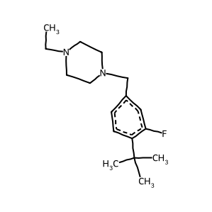 CCN1CCN(Cc2ccc(C(C)(C)C)c(F)c2)CC1